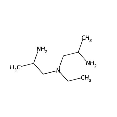 CCN(CC(C)N)CC(C)N